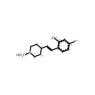 O=C(O)N1CCC(/C=C/c2ccc(F)cc2Cl)CC1